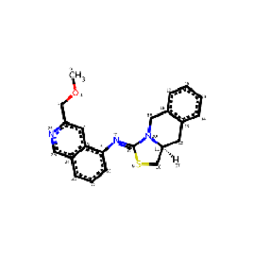 COCc1cc2c(N=C3SC[C@@H]4Cc5ccccc5CN34)cccc2cn1